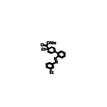 CCc1cccc(/N=N/c2ccccc2C2=CCC(CC)(C(=O)OC)C=C2)c1